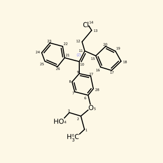 CCC(CO)Oc1ccc(/C(=C(/CCCl)c2ccccc2)c2ccccc2)cc1